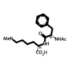 CNCCCC[C@H](NC(=O)[C@H](Cc1ccccc1)NC(C)=O)C(=O)O